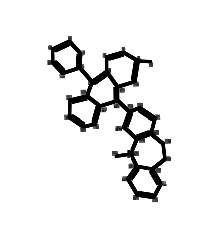 Cc1ccc2c(-c3ccccc3)c3ccccc3c(-c3ccc4c(c3)N(C)c3ccccc3CC4)c2c1